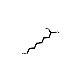 [CH2]CCCC(CCCC)CCCCCCCCCCCCCCC